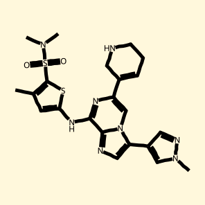 Cc1cc(Nc2nc(C3=CCCNC3)cn3c(-c4cnn(C)c4)cnc23)sc1S(=O)(=O)N(C)C